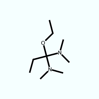 CCOC(CC)(N(C)C)N(C)C